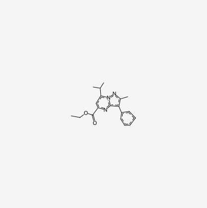 CCOC(=O)c1cc(C(C)C)n2nc(C)c(-c3ccccc3)c2n1